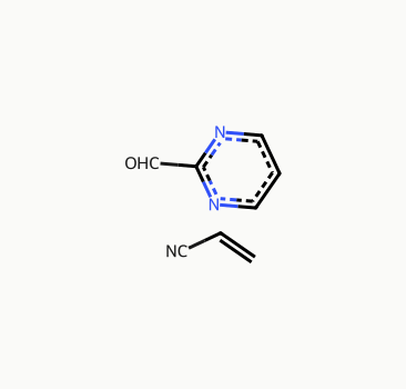 C=CC#N.O=Cc1ncccn1